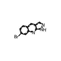 Brc1ccc2cc3cn[nH]c3nc2c1